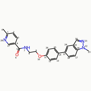 Cc1ccc(C(=O)NCCOc2ccc(-c3ccc4c(cnn4C)c3)cc2)cn1